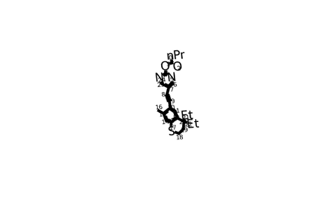 CCCC(=O)Oc1ncc(C#Cc2cc3c(cc2C)SCCC3(CC)CC)cn1